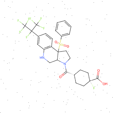 O=C([C@H]1CC[C@](F)(C(=O)O)CC1)N1CCC2(S(=O)(=O)c3ccccc3)c3ccc(C(F)(C(F)(F)F)C(F)(F)F)cc3NCC12